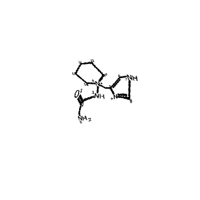 NC(=O)N[N+]1(c2c[nH]cn2)CCCCC1